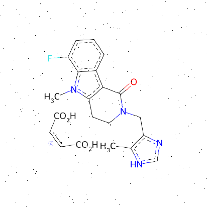 Cc1[nH]cnc1CN1CCc2c(c3cccc(F)c3n2C)C1=O.O=C(O)/C=C\C(=O)O